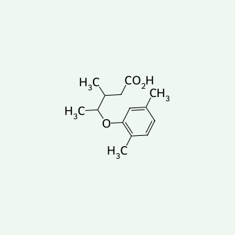 Cc1ccc(C)c(OC(C)C(C)CC(=O)O)c1